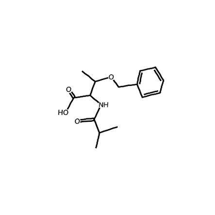 CC(C)C(=O)NC(C(=O)O)C(C)OCc1ccccc1